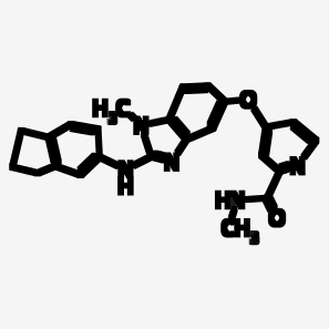 CNC(=O)c1cc(Oc2ccc3c(c2)nc(Nc2ccc4c(c2)CCC4)n3C)ccn1